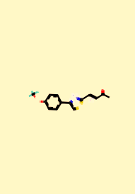 CC(=O)/C=C/c1nc(-c2ccc(OC(F)(F)F)cc2)cs1